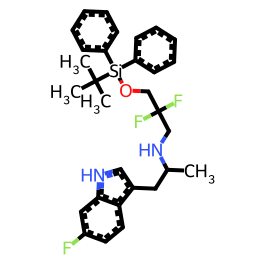 CC(Cc1c[nH]c2cc(F)ccc12)NCC(F)(F)CO[Si](c1ccccc1)(c1ccccc1)C(C)(C)C